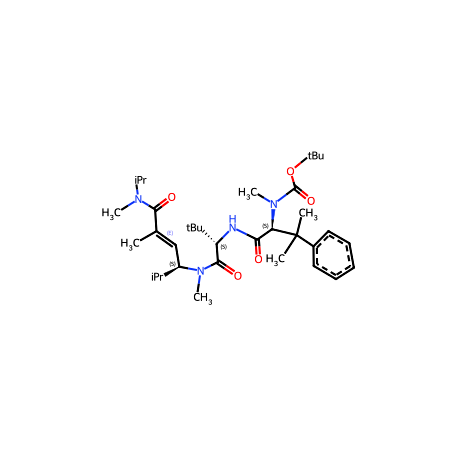 C/C(=C\[C@H](C(C)C)N(C)C(=O)[C@@H](NC(=O)[C@@H](N(C)C(=O)OC(C)(C)C)C(C)(C)c1ccccc1)C(C)(C)C)C(=O)N(C)C(C)C